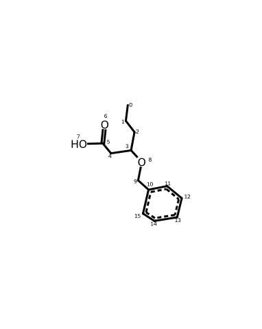 CCCC(CC(=O)O)OCc1ccccc1